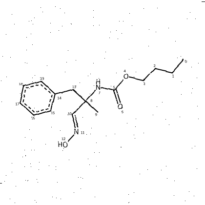 CCCCOC(=O)NC(C)(C=NO)Cc1ccccc1